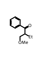 CCC(COC)C(=O)c1ccccc1